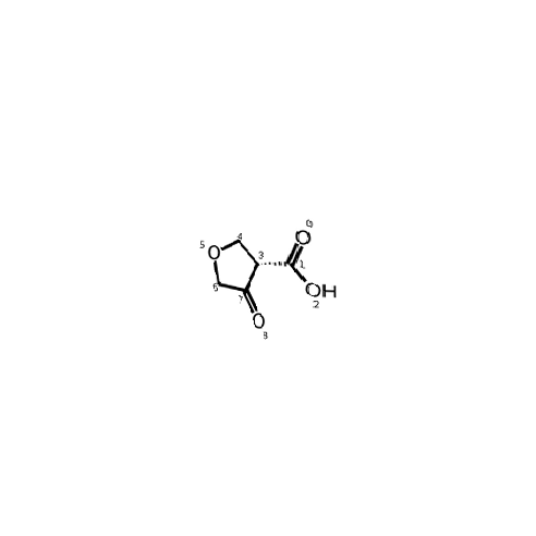 O=C(O)[C@H]1COCC1=O